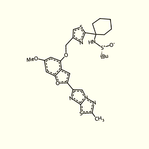 COc1cc(OCc2csc(C3(N[S@+]([O-])C(C)(C)C)CCCCC3)n2)c2cc(-c3cn4nc(C)sc4n3)oc2c1